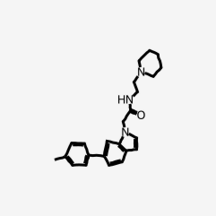 Cc1ccc(-c2ccc3ccn(CC(=O)NCCN4CCCCC4)c3c2)cc1